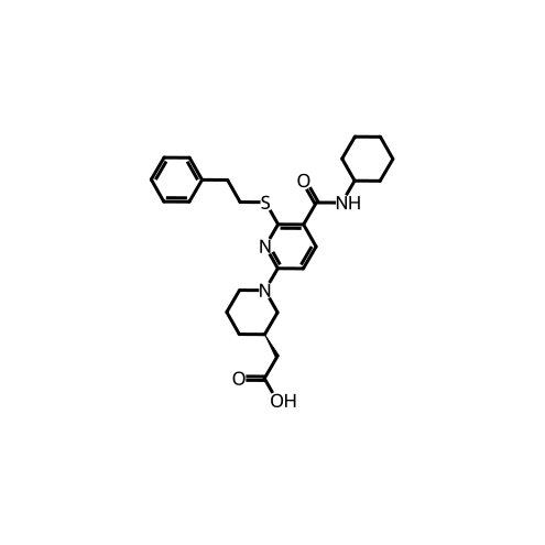 O=C(O)C[C@H]1CCCN(c2ccc(C(=O)NC3CCCCC3)c(SCCc3ccccc3)n2)C1